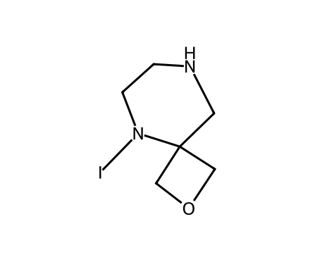 IN1CCNCC12COC2